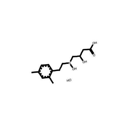 Cc1ccc(CCN(O)CC(O)CC(=O)O)c(C)c1.Cl